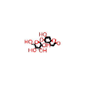 O=c1ccc2cc(OC3O[C@H](CO)[C@@H](O)[C@H](O)[C@H]3O)c(O)cc2o1